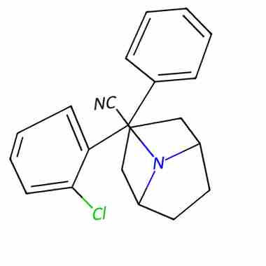 N#CC1CC2CCC(C1)N2C(c1ccccc1)c1ccccc1Cl